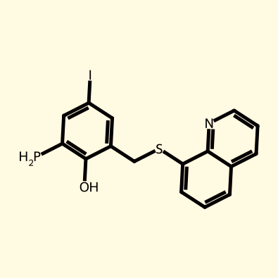 Oc1c(P)cc(I)cc1CSc1cccc2cccnc12